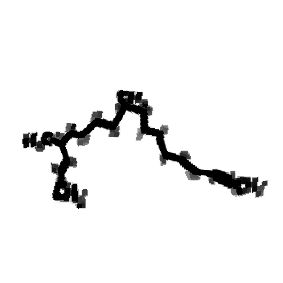 [CH2]C#CCCCCCCC(C)CCCCC(C)CC[CH2]